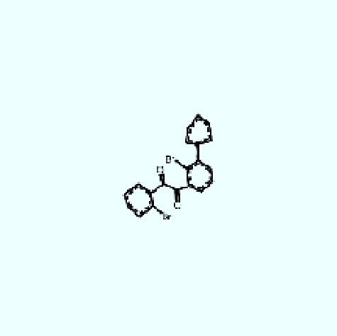 O=C(C(=O)c1cccc(-c2ccccc2)c1Br)c1ccccc1Br